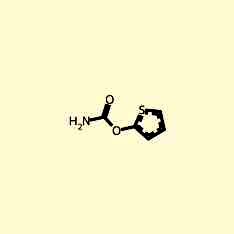 NC(=O)Oc1cccs1